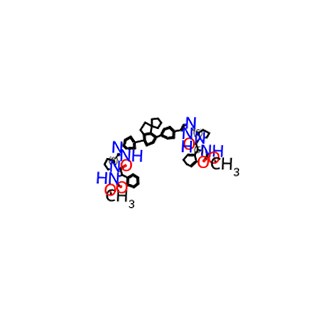 COC(=O)NC(C(=O)N1CCC[C@H]1c1nc2ccc(-c3ccc(-c4ccc(-c5cnc([C@@H]6CCCN6C(=O)[C@@H](NC(=O)OC)C6=CCCC=C6)[nH]5)cc4)c4c3CCC43CCCC3)cc2[nH]1)c1ccccc1